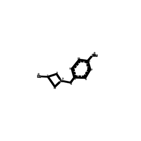 CCC1CN(Cc2ccc(C(C)(C)C)cc2)C1